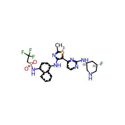 Cc1nc(Nc2ccc(NS(=O)(=O)CC(F)(F)F)c3ccccc23)c(-c2ccnc(N[C@@H]3CNC[C@@H](F)C3)n2)s1